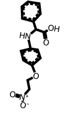 O=C(O)C(Nc1ccc(OCC[N+](=O)[O-])cc1)c1ccccc1